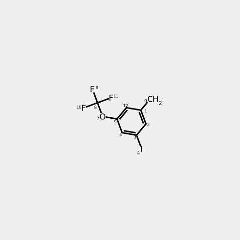 [CH2]c1cc(I)cc(OC(F)(F)F)c1